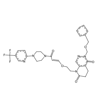 O=C(/C=C/OCCN1C(=O)CCc2c1cnn(COCc1ccccc1)c2=O)N1CCN(c2ccc(C(F)(F)F)cn2)CC1